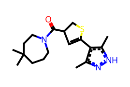 Cc1n[nH]c(C)c1C1=CC(C(=O)N2CCCC(C)(C)CC2)CS1